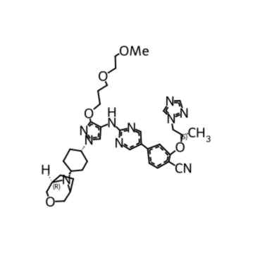 COCCOCCCOc1nn([C@H]2CC[C@H](N3C4CC[C@@H]3COC4)CC2)cc1Nc1ncc(-c2ccc(C#N)c(O[C@@H](C)Cn3cncn3)c2)cn1